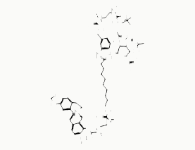 COC(=O)[C@H]1O[C@@H](Oc2ccc(COC(=O)N(C)CCN(C)C(=O)OC(C)(C)C)cc2NC(=O)CCCCCCCCCOC(=O)N(C)CCN(C)C(=O)Oc2c(OC)ccc3cc4[n+](cc23)CCc2cc3c(cc2-4)OCO3)[C@H](OC(C)=O)[C@@H](O)[C@@H]1OC(C)=O